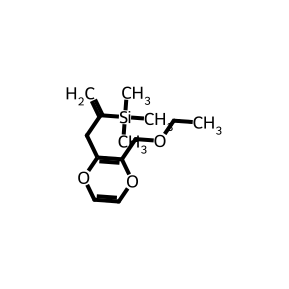 C=C(CC1=C(COCC)OC=CO1)[Si](C)(C)C